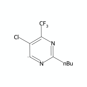 CCCCc1n[c]c(Cl)c(C(F)(F)F)n1